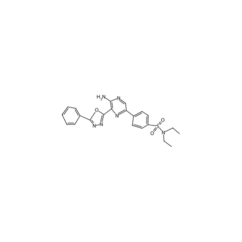 CCN(CC)S(=O)(=O)c1ccc(-c2cnc(N)c(-c3nnc(-c4ccccc4)o3)n2)cc1